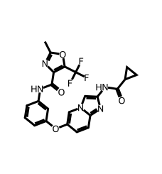 Cc1nc(C(=O)Nc2cccc(Oc3ccc4nc(NC(=O)C5CC5)cn4c3)c2)c(C(F)(F)F)o1